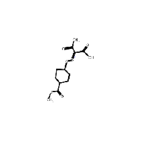 COC(=O)C1CCC(O/N=C(\C(C)=O)C(=O)O)CC1